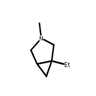 CCC12CC1CN(C)C2